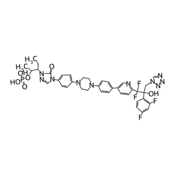 CCC(C(C)OP(=O)(O)O)n1ncn(-c2ccc(N3CCN(c4ccc(-c5ccc(C(F)(F)C(O)(Cn6cnnn6)c6ccc(F)cc6F)nc5)cc4)CC3)cc2)c1=O